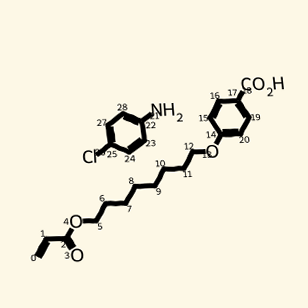 C=CC(=O)OCCCCCCCCOc1ccc(C(=O)O)cc1.Nc1ccc(Cl)cc1